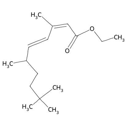 CCOC(=O)C=C(C)C=CC(C)CCC(C)(C)C